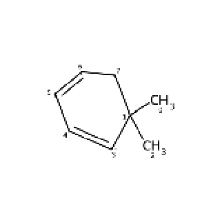 CC1(C)[C]=CC=[C]C1